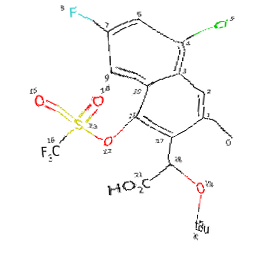 Cc1cc2c(Cl)cc(F)cc2c(OS(=O)(=O)C(F)(F)F)c1C(OC(C)(C)C)C(=O)O